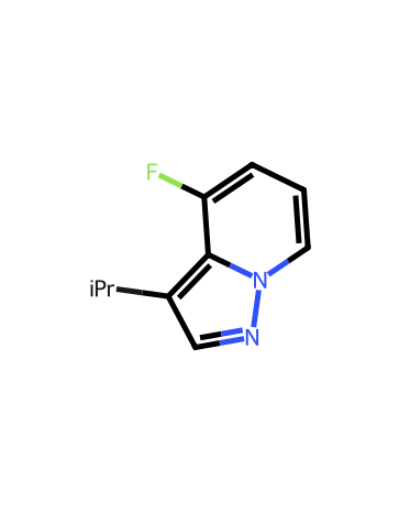 CC(C)c1cnn2cccc(F)c12